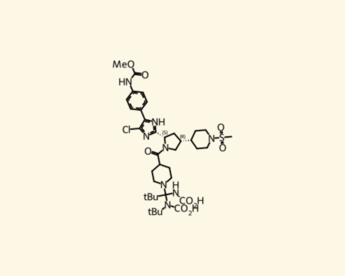 COC(=O)Nc1ccc(-c2[nH]c([C@@H]3C[C@H](C4CCN(S(C)(=O)=O)CC4)CN3C(=O)C3CCN(C(NC(=O)O)(N(C(=O)O)C(C)(C)C)C(C)(C)C)CC3)nc2Cl)cc1